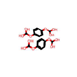 OC(O)Oc1ccc(OC(O)O)cc1.OC(O)Oc1ccc(OC(O)O)cc1